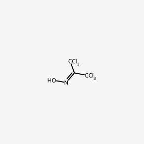 ON=C(C(Cl)(Cl)Cl)C(Cl)(Cl)Cl